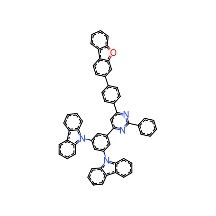 c1ccc(-c2nc(-c3ccc(-c4ccc5c(c4)oc4ccccc45)cc3)cc(-c3cc(-n4c5ccccc5c5ccccc54)cc(-n4c5ccccc5c5ccccc54)c3)n2)cc1